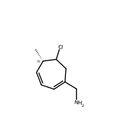 C[C@H]1C=CC=C(CN)CC1Cl